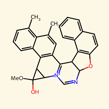 COC1(O)C2c3c(cc(C)c4c(C)cccc34)C3=[N+](C=NC4Oc5ccc6ccccc6c5C34)C21